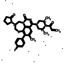 C=CC(=O)N1[C@H](C)CN(c2nc(=O)n3c4c(c(-c5ccc(F)cc5)c(C)cc24)SC[C@@H](N2CCCC2=O)C3)C[C@@H]1C